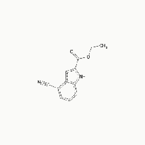 CCOC(=O)c1cc2c(C#N)cccc2[nH]1